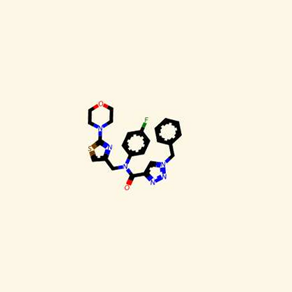 O=C(c1cn(Cc2ccccc2)nn1)N(Cc1csc(N2CCOCC2)n1)c1ccc(F)cc1